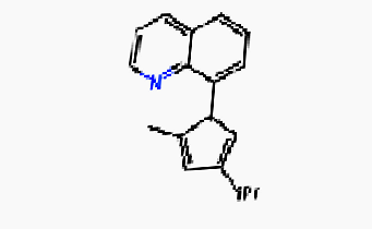 CC1=CC(C(C)C)=C[C]1c1cccc2cccnc12